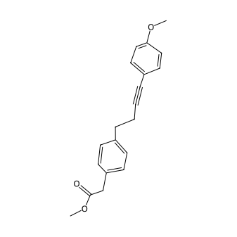 COC(=O)Cc1ccc(CCC#Cc2ccc(OC)cc2)cc1